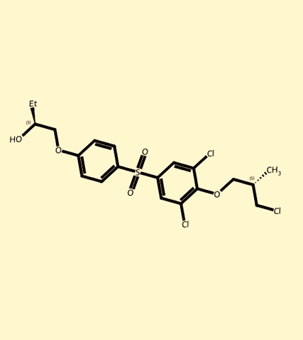 CC[C@H](O)COc1ccc(S(=O)(=O)c2cc(Cl)c(OC[C@H](C)CCl)c(Cl)c2)cc1